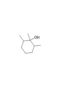 CC1CCCC(C)C1(C)O